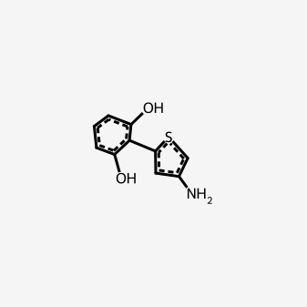 Nc1csc(-c2c(O)cccc2O)c1